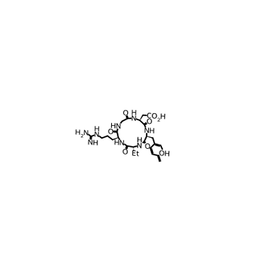 C=C(O)/C=C\C(=C/C)C[C@@H]1NC(=O)[C@H](CC(=O)O)NC(=O)CNC(=O)[C@H](CCCNC(=N)N)NC(=O)[C@@H](CC)NC1=O